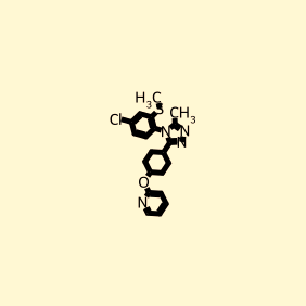 CSc1cc(Cl)ccc1-n1c(C)nnc1C1CCC(Oc2ccccn2)CC1